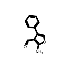 Cc1occ(-c2ccccc2)c1C=O